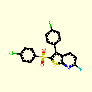 O=S(=O)(c1ccc(Cl)cc1)c1sc2nc(F)ccc2c1-c1ccc(Cl)cc1